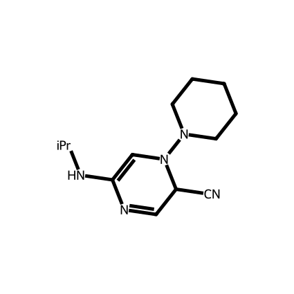 CC(C)NC1=CN(N2CCCCC2)C(C#N)C=N1